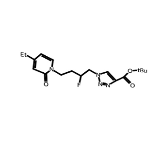 CCc1ccn(CCC(F)Cn2cc(C(=O)OC(C)(C)C)nn2)c(=O)c1